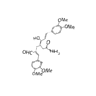 COc1ccc(/C=C(\C=O)C/C(CC(N)=O)=C(O)/C=C/c2ccc(OC)c(OC)c2)cc1OC